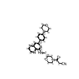 N#CCC(=O)N1CCO[C@H](CNc2nc(-c3ccc(N4CCOCC4)cc3)cc3nccnc23)C1